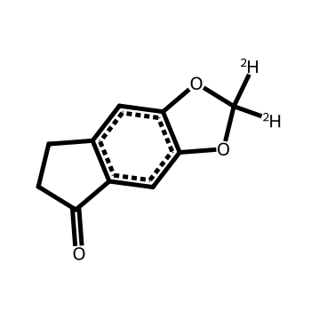 [2H]C1([2H])Oc2cc3c(cc2O1)C(=O)CC3